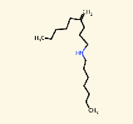 C=C(CCCCC)CCCNCCCCCCC